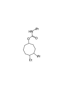 CCC1CCCC(OC(=O)NC(C)C)CCC1C(C)C